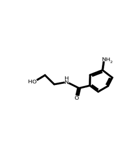 Nc1cccc(C(=O)NCCO)c1